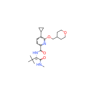 CNC(=O)[C@@H](NC(=O)c1ccc(C2CC2)c(OCC2CCOCC2)n1)C(C)(C)C